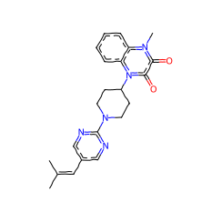 CC(C)=Cc1cnc(N2CCC(n3c(=O)c(=O)n(C)c4ccccc43)CC2)nc1